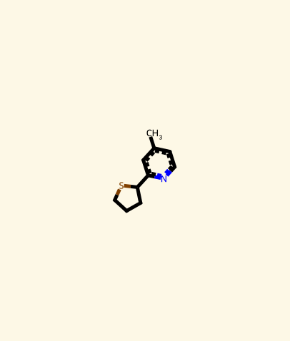 Cc1ccnc(C2CCCS2)c1